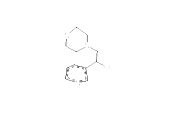 CC(CN1CCNCC1)c1cccnc1